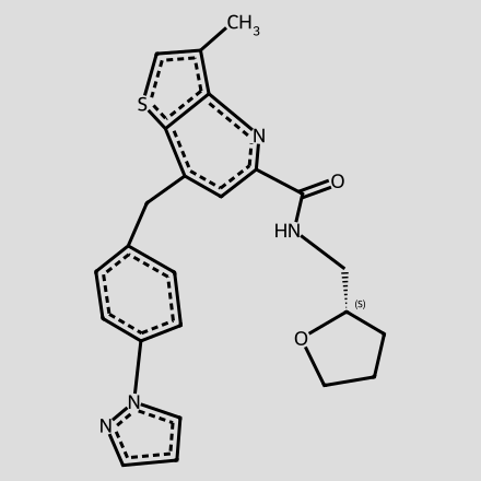 Cc1csc2c(Cc3ccc(-n4cccn4)cc3)cc(C(=O)NC[C@@H]3CCCO3)nc12